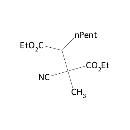 CCCCCC(C(=O)OCC)C(C)(C#N)C(=O)OCC